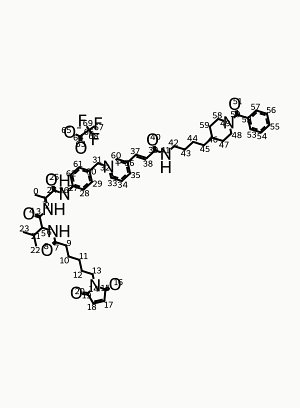 CC(NC(=O)C(NC(=O)CCCCCN1C(=O)C=CC1=O)C(C)C)C(=O)Nc1ccc(C[n+]2cccc(/C=C/C(=O)NCCCCC3CCN(C(=O)c4ccccc4)CC3)c2)cc1.O=C([O-])C(F)(F)F